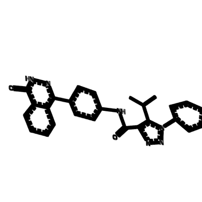 CC(C)c1c(C(=O)Nc2ccc(-c3n[nH]c(=O)c4ccccc34)cc2)nnn1-c1ccccc1